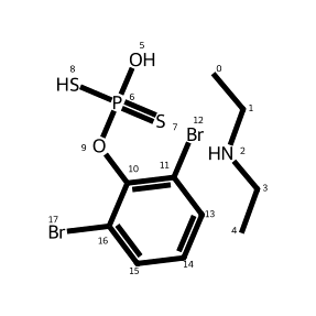 CCNCC.OP(=S)(S)Oc1c(Br)cccc1Br